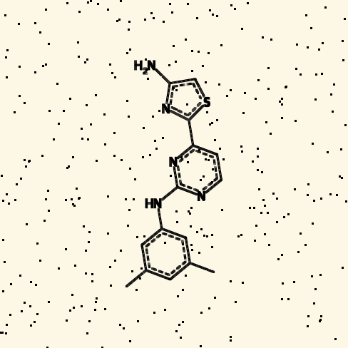 Cc1cc(C)cc(Nc2nccc(-c3nc(N)cs3)n2)c1